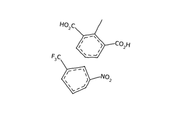 Cc1c(C(=O)O)cccc1C(=O)O.O=[N+]([O-])c1cccc(C(F)(F)F)c1